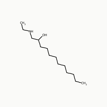 CCCCCCCCCCC(O)CNCC